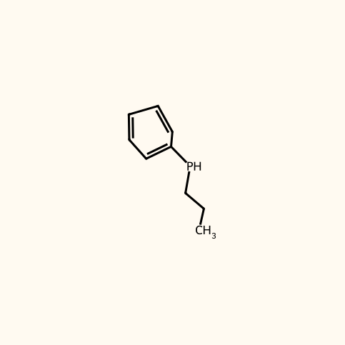 CCCPc1ccccc1